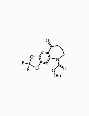 CC(C)(C)OC(=O)N1CCCC(=O)c2cc3c(cc21)OC(F)(F)O3